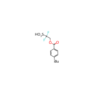 CCC(C)c1ccc(C(=O)OCC(F)(F)S(=O)(=O)O)cc1